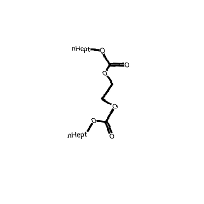 CCCCCCCOC(=O)OCCOC(=O)OCCCCCCC